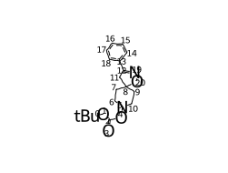 CC(C)(C)OC(=O)ON1CCC2(CC1)CC(c1ccccc1)=NO2